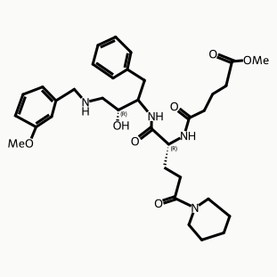 COC(=O)CCCC(=O)N[C@H](CCC(=O)N1CCCCC1)C(=O)NC(Cc1ccccc1)[C@H](O)CNCc1cccc(OC)c1